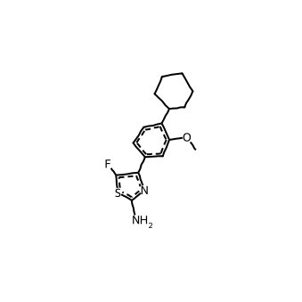 COc1cc(-c2nc(N)sc2F)ccc1C1CCCCC1